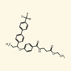 CCOC(=O)CCNC(=O)c1ccc(OC(CC)c2ccc(-c3ccc(C(F)(F)F)cc3)cc2)cc1